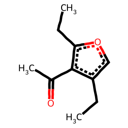 CCc1coc(CC)c1C(C)=O